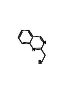 BrCc1ncc2ccccc2n1